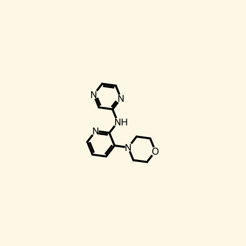 c1cnc(Nc2cnccn2)c(N2CCOCC2)c1